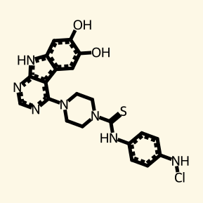 Oc1cc2[nH]c3ncnc(N4CCN(C(=S)Nc5ccc(NCl)cc5)CC4)c3c2cc1O